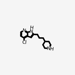 Clc1ccnc2[nH]c(CCCC3CCNCC3)cc12